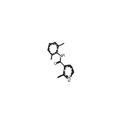 Cc1cccc(C)c1NC(=O)c1ccoc1C